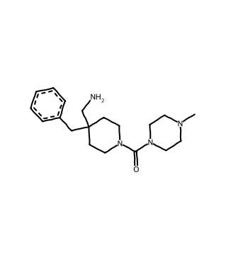 CN1CCN(C(=O)N2CCC(CN)(Cc3ccccc3)CC2)CC1